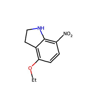 CCOc1ccc([N+](=O)[O-])c2c1CCN2